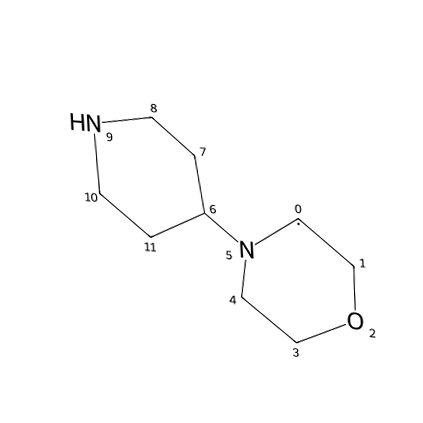 [CH]1COCCN1C1CCNCC1